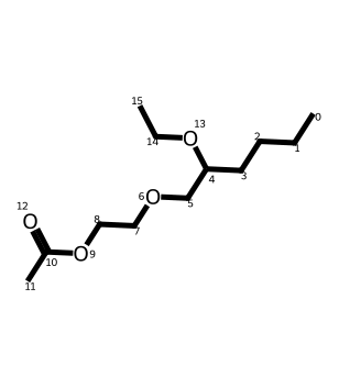 CCCCC(COCCOC(C)=O)OCC